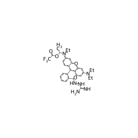 CCN(CC)c1ccc2c(-c3ccccc3C(=O)NNC(=N)N)c3ccc(=[N+](CC)C(C)OC(=O)C(F)(F)F)cc-3oc2c1